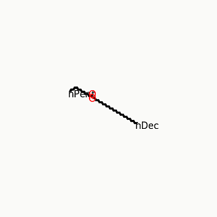 CCCCC/C=C\C/C=C\CCCCCCCC(=O)OCCCCCCCCCCCCCCCCCCCCCCCCCCCCCCCCCCC